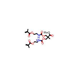 C=C(C)C(=O)OCCNC(=O)OCC(C)(COC(=O)NCCOC(=O)C(=C)C)C(=O)OC